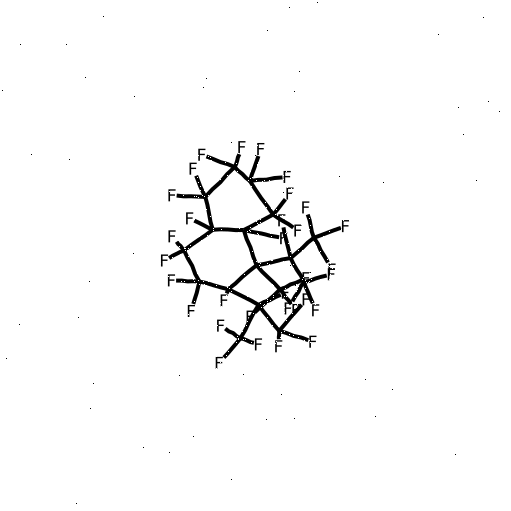 FC(F)(F)C(F)(C(F)(F)F)C1(F)C(F)(F)C(F)(F)C2(F)C(F)(F)C(F)(F)C(F)(F)C(F)(F)C2(F)C1(C(F)(F)F)C(F)(C(F)(F)F)C(F)(F)F